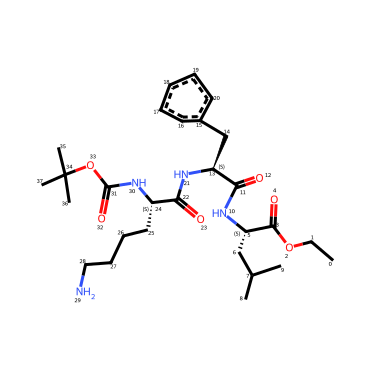 CCOC(=O)[C@H](CC(C)C)NC(=O)[C@H](Cc1ccccc1)NC(=O)[C@H](CCCCN)NC(=O)OC(C)(C)C